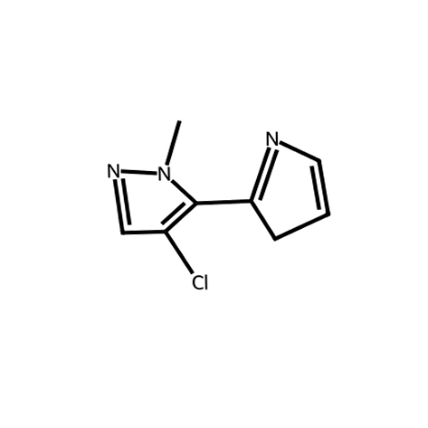 Cn1ncc(Cl)c1C1=NC=CC1